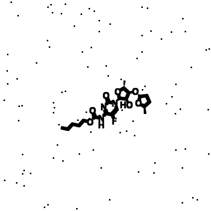 CCCCCOC(=O)Nc1nc(=O)n([C@@H]2O[C@H](C)[C@@H](O[C@@H]3CC[C@@H](C)O3)[C@H]2O)cc1F